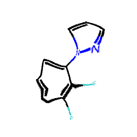 Fc1cccc(-n2c[c]cn2)c1F